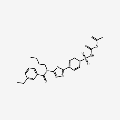 C=C(C)OC(=O)NS(=O)(=O)C1C=CC(c2nnc(N(CCCC)C(=O)c3cccc(CC)c3)s2)=CC1